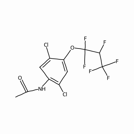 CC(=O)Nc1cc(Cl)c(OC(F)(F)C(F)C(F)(F)F)cc1Cl